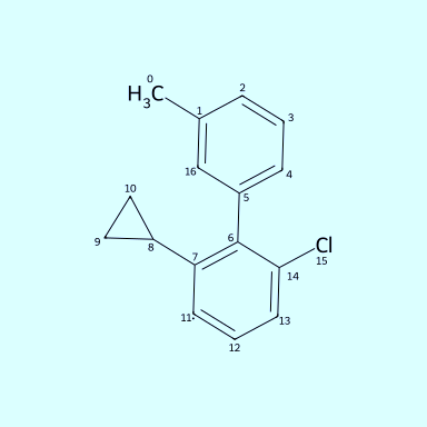 Cc1cccc(-c2c(C3CC3)[c]ccc2Cl)c1